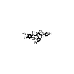 CC(C)N1CC[C@@H](n2c(CNc3cc(C(C)(C)C)c(Cl)cc3O)nc(Cl)c2C(=O)N(C)[C@@H]2CCNC2)C1